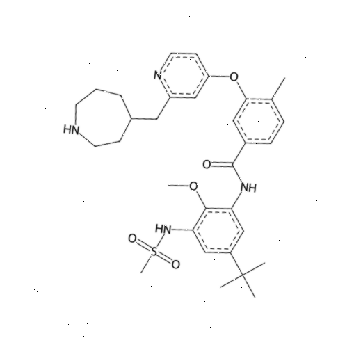 COc1c(NC(=O)c2ccc(C)c(Oc3ccnc(CC4CCCNCC4)c3)c2)cc(C(C)(C)C)cc1NS(C)(=O)=O